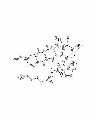 C=CCCCC1C[C@H]1OC(=O)N[C@H](C(=O)N1C[C@H](Oc2nc3cc(OC)ccc3nc2Cl)[C@@H](C)[C@H]1C(=O)OC(C)(C)C)C1(C)CCCC1